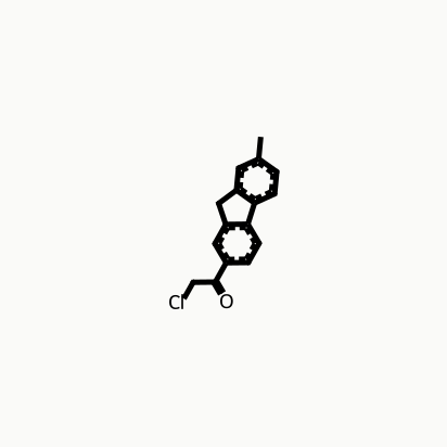 Cc1ccc2c(c1)Cc1cc(C(=O)CCl)ccc1-2